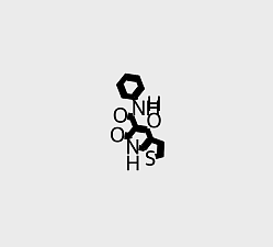 O=C(Nc1ccccc1)c1c(O)c2ccsc2[nH]c1=O